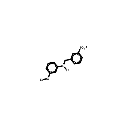 CCOc1cccc(N(CC)Cc2cccc(S(=O)(=O)O)c2)c1